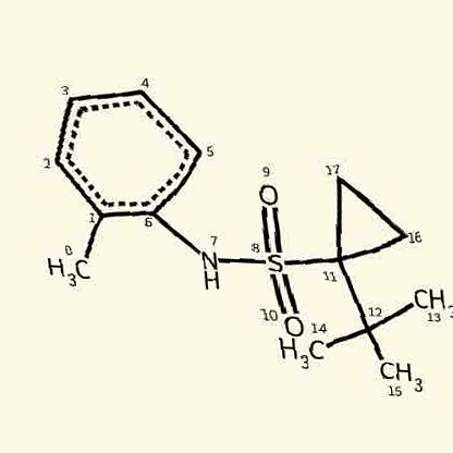 Cc1ccccc1NS(=O)(=O)C1(C(C)(C)C)CC1